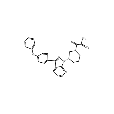 C=C(C)C(=O)N1CCC[C@H](n2nc(-c3ccc(Oc4ccccc4)cc3)c3cncnc32)C1